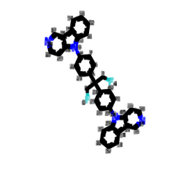 FCC(CF)(c1ccc(-n2c3ccccc3c3cnccc32)cc1)c1ccc(-n2c3ccccc3c3cnccc32)cc1